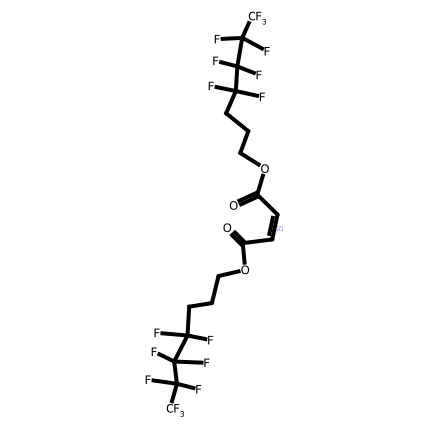 O=C(/C=C\C(=O)OCCCC(F)(F)C(F)(F)C(F)(F)C(F)(F)F)OCCCC(F)(F)C(F)(F)C(F)(F)C(F)(F)F